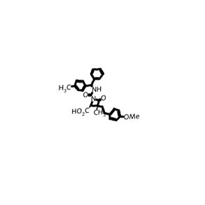 COc1ccc(CC[C@@]2(C)C(=O)N(C(=O)NC(c3ccccc3)c3ccc(C)cc3)[C@@H]2C(=O)O)cc1